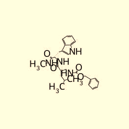 CNC(=O)[C@H](Cc1c[nH]c2ccccc12)NC(=O)C(CNC(=O)OCc1ccccc1)CC(C)C